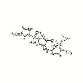 Cc1nn(C(C)(C)c2cn(C)cn2)cc1Nc1ncc(C(F)(F)F)c(C2CC2)n1